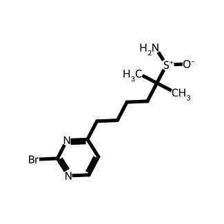 CC(C)(CCCCc1ccnc(Br)n1)[S+](N)[O-]